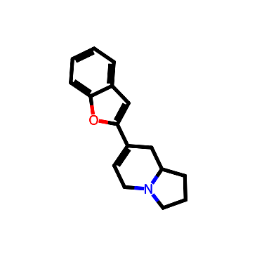 C1=C(c2cc3ccccc3o2)CC2CCCN2C1